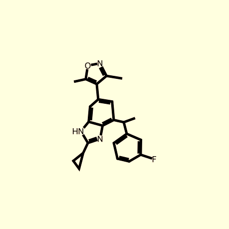 Cc1noc(C)c1-c1cc(C(C)c2cccc(F)c2)c2nc(C3CC3)[nH]c2c1